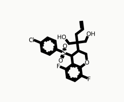 C=CCC(CO)(CO)C1COc2c(F)ccc(F)c2C1S(=O)(=O)c1ccc(Cl)cc1